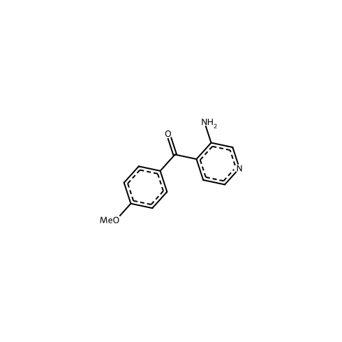 COc1ccc(C(=O)c2ccncc2N)cc1